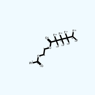 CC(C)C(=O)OCCOC(=O)C(F)(F)C(F)(F)C(F)(F)C(F)F